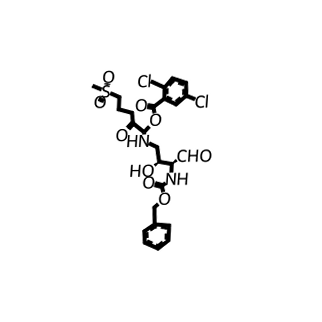 CS(=O)(=O)CCCC(=O)C(NC[C@H](O)[C@@H](C=O)NC(=O)OCc1ccccc1)OC(=O)c1cc(Cl)ccc1Cl